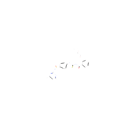 COCCOc1ccccc1C(=O)NC(=S)Nc1ccc(S(=O)(=O)Nc2nc(C)cc(C)n2)cc1